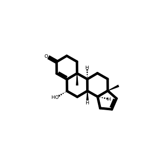 C[C@@]12C=CC[C@H]1[C@@H]1C[C@H](O)C3=CC(=O)CC[C@]3(C)[C@H]1CC2